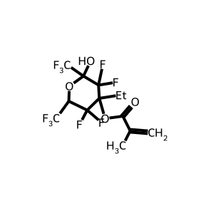 C=C(C)C(=O)OC1(CC)C(F)(F)C(C(F)(F)F)OC(O)(C(F)(F)F)C1(F)F